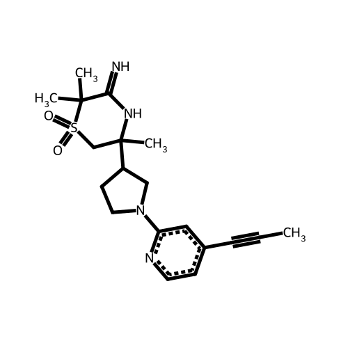 CC#Cc1ccnc(N2CCC(C3(C)CS(=O)(=O)C(C)(C)C(=N)N3)C2)c1